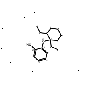 CCC1CCCCC1(CC)Oc1ccccc1O